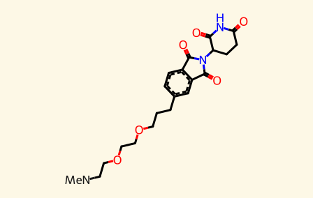 CNCCOCCOCCCc1ccc2c(c1)C(=O)N(C1CCC(=O)NC1=O)C2=O